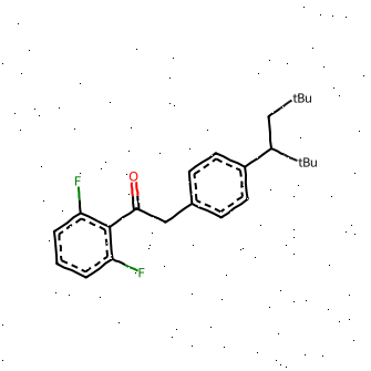 CC(C)(C)CC(c1ccc(CC(=O)c2c(F)cccc2F)cc1)C(C)(C)C